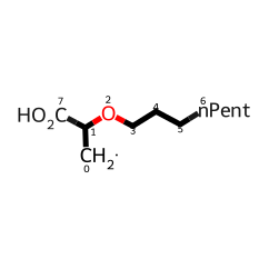 [CH2]C(OCCCCCCCC)C(=O)O